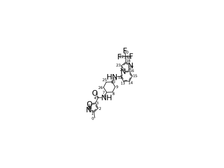 Cc1cc(C(=O)NC2CCC(Nc3cccc4nc(C(F)(F)F)cn34)CC2)on1